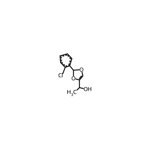 CC(O)C1=COC(c2ccccc2Cl)O1